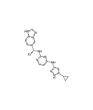 CC[C@H](Nc1nccc(Nc2cc(C3CC3)[nH]n2)n1)c1ccc2[nH]cnc2c1